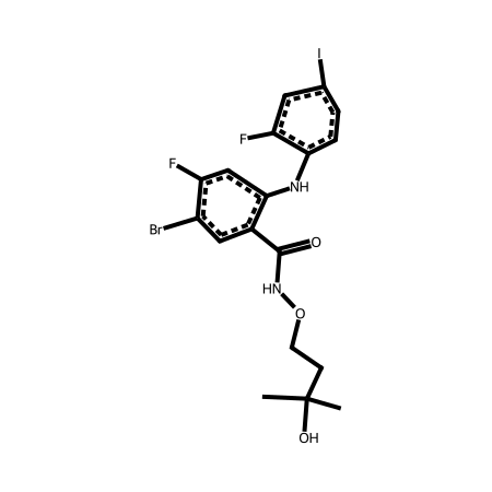 CC(C)(O)CCONC(=O)c1cc(Br)c(F)cc1Nc1ccc(I)cc1F